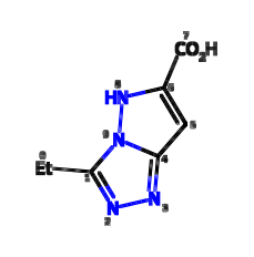 CCc1nnc2cc(C(=O)O)[nH]n12